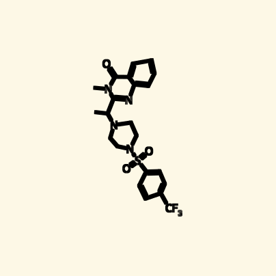 CC(c1nc2ccccc2c(=O)n1C)N1CCN(S(=O)(=O)c2ccc(C(F)(F)F)cc2)CC1